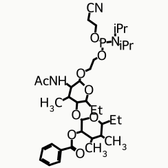 CCC1OC(OC2C(CC)OC(OCCOP(OCCC#N)N(C(C)C)C(C)C)C(NC(C)=O)C2C)C(OC(=O)c2ccccc2)C(C)C1C